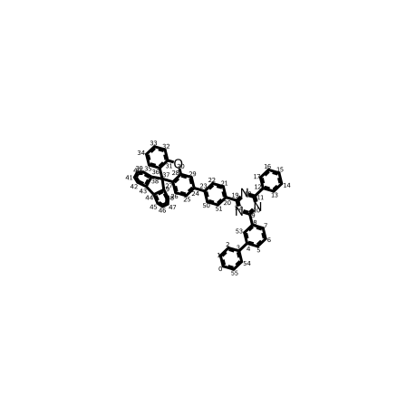 c1ccc(-c2cccc(-c3nc(-c4ccccc4)nc(-c4ccc(-c5ccc6c(c5)Oc5ccccc5C65c6ccccc6-c6ccccc65)cc4)n3)c2)cc1